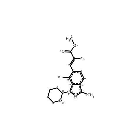 COC(=O)/C(F)=C/c1ccc2c(C)nn(C3CCCCO3)c2c1F